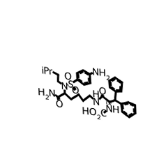 CC(C)CCN(C(CCCCNC(=O)[C@@H](NC(=O)O)C(c1ccccc1)c1ccccc1)C(N)=O)S(=O)(=O)c1ccc(N)cc1